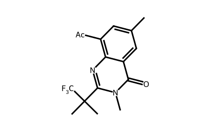 CC(=O)c1cc(C)cc2c(=O)n(C)c(C(C)(C)C(F)(F)F)nc12